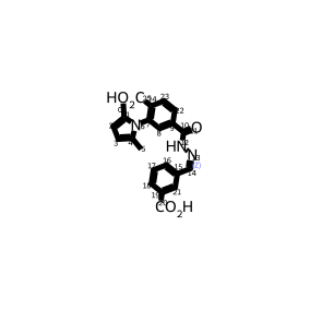 Cc1ccc(C)n1-c1cc(C(=O)N/N=C\c2cccc(C(=O)O)c2)ccc1C(=O)O